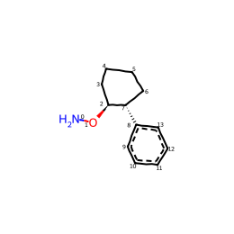 NO[C@H]1CCCC[C@@H]1c1ccccc1